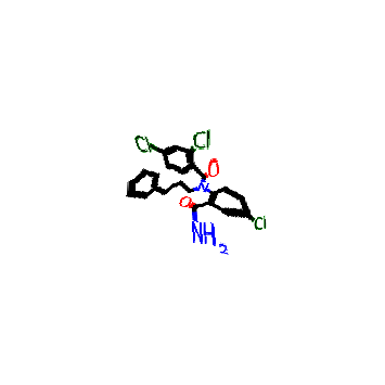 NC(=O)c1cc(Cl)ccc1N(CCCc1ccccc1)C(=O)c1ccc(Cl)cc1Cl